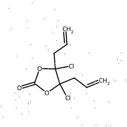 C=CCC1(Cl)OC(=O)OC1(Cl)CC=C